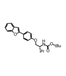 CC(C)[C@@H](COc1ccc(-c2cc3ccccc3o2)cc1)NC(=O)OC(C)(C)C